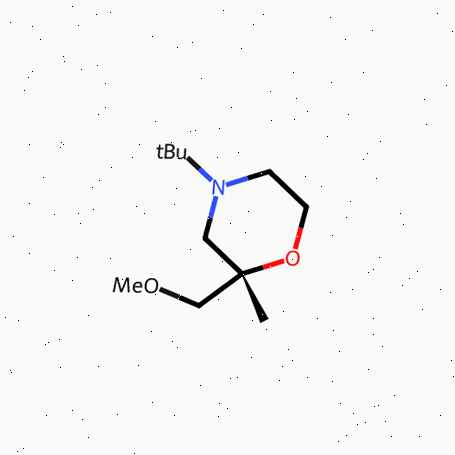 COC[C@]1(C)CN(C(C)(C)C)CCO1